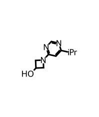 CC(C)c1cc(N2CC(O)C2)ncn1